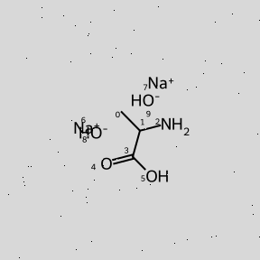 CC(N)C(=O)O.[Na+].[Na+].[OH-].[OH-]